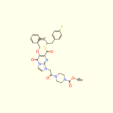 CC(C)(C)OC(=O)N1CCN(C(=O)Cn2ccn3c(=O)c(OCc4ccccc4)c(C(=O)SC(C=O)Cc4ccc(F)cc4)nc23)CC1